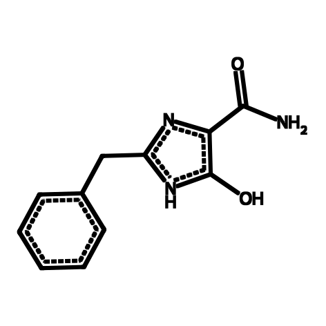 NC(=O)c1nc(Cc2ccccc2)[nH]c1O